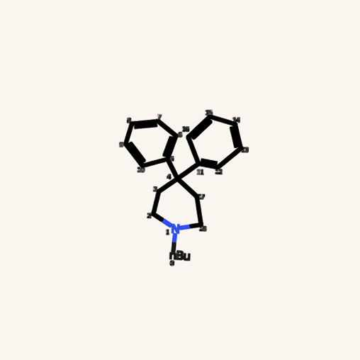 [CH2]CCCN1CCC(c2ccccc2)(c2ccccc2)CC1